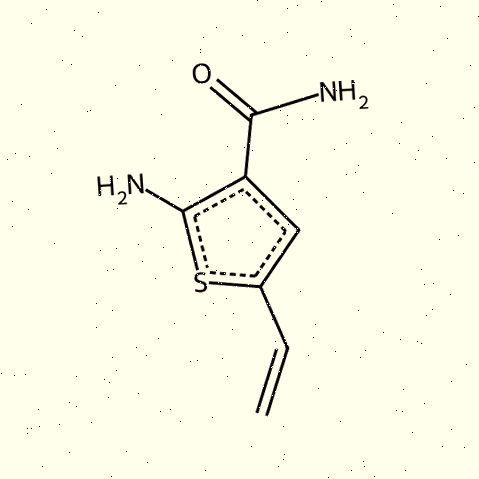 C=Cc1cc(C(N)=O)c(N)s1